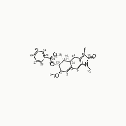 CO[C@@H]1C=C2C=C3C(=C(C)C(=O)N3C)C[C@]2(C)[C@@H](C)[C@H]1OC(=O)c1ccccc1